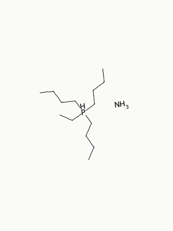 CCCC[PH](CC)(CCCC)CCCC.N